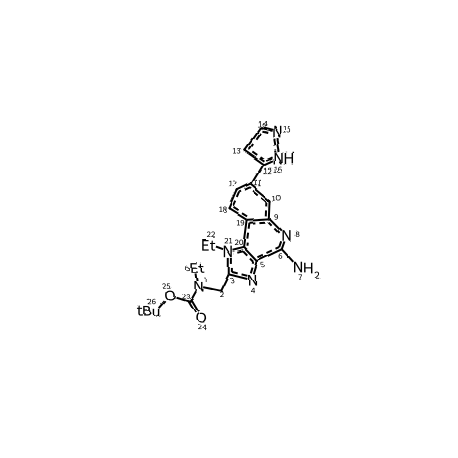 CCN(Cc1nc2c(N)nc3cc(-c4ccn[nH]4)ccc3c2n1CC)C(=O)OC(C)(C)C